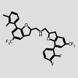 Cc1cccc(-c2cc(C(F)(F)F)cc3c2OC(CNCC2Cc4cc(C(F)(F)F)cc(-c5cccc(F)c5F)c4O2)C3)c1C